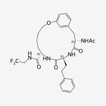 CC(=O)N[C@H]1Cc2cccc(c2)OCCCC[C@@H](C(=O)NCC(F)(F)F)NC(=O)[C@H](CCc2ccccc2)NC1=O